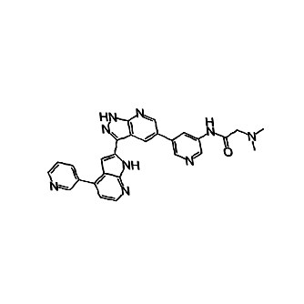 CN(C)CC(=O)Nc1cncc(-c2cnc3[nH]nc(-c4cc5c(-c6cccnc6)ccnc5[nH]4)c3c2)c1